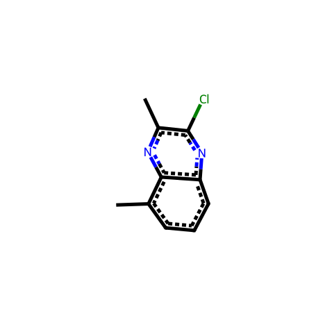 Cc1nc2c(C)cccc2nc1Cl